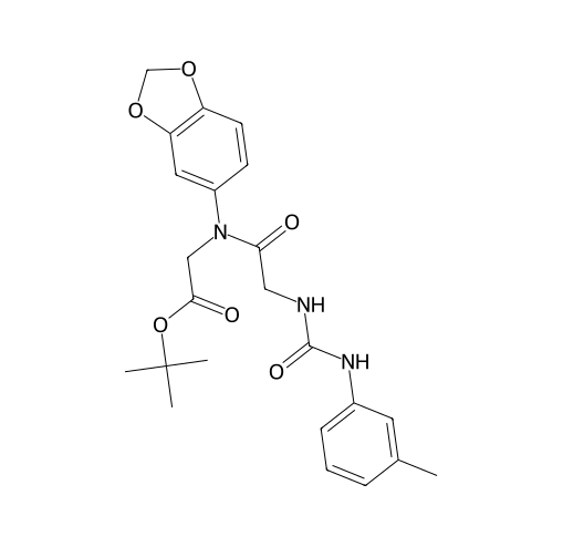 Cc1cccc(NC(=O)NCC(=O)N(CC(=O)OC(C)(C)C)c2ccc3c(c2)OCO3)c1